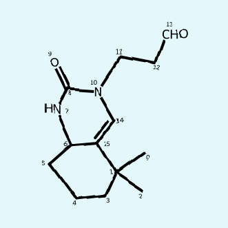 CC1(C)CCCC2NC(=O)N(CCC=O)C=C21